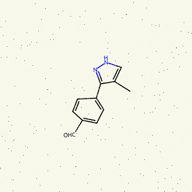 Cc1c[nH]nc1-c1ccc(C=O)cc1